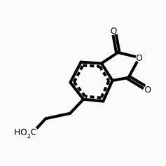 O=C(O)CCc1ccc2c(c1)C(=O)OC2=O